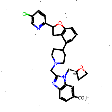 O=C(O)c1ccc2nc(CN3CCC(c4cccc5c4CC(c4ccc(Cl)cn4)O5)CC3)n(C[C@@H]3CCO3)c2c1